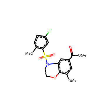 COC(=O)c1cc(OC)c2c(c1)N(S(=O)(=O)c1cc(Cl)ccc1OC)CCO2